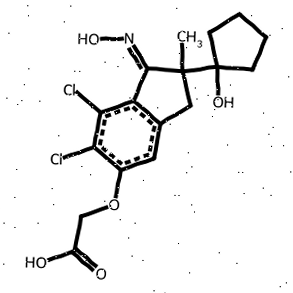 CC1(C2(O)CCCC2)Cc2cc(OCC(=O)O)c(Cl)c(Cl)c2/C1=N\O